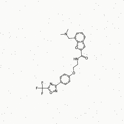 CN(C)Cc1cccc2cc(C(=O)NCCOc3ccc(-c4noc(C(F)(F)F)n4)cc3)oc12